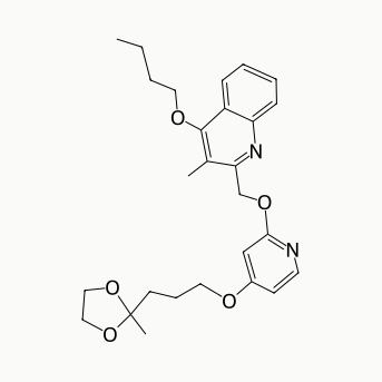 CCCCOc1c(C)c(COc2cc(OCCCC3(C)OCCO3)ccn2)nc2ccccc12